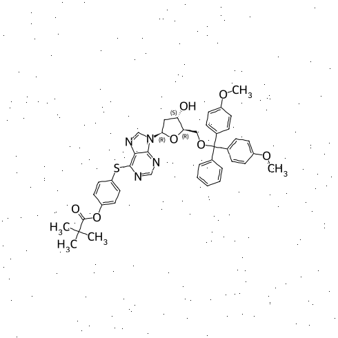 COc1ccc(C(OC[C@H]2O[C@@H](n3cnc4c(Sc5ccc(OC(=O)C(C)(C)C)cc5)ncnc43)C[C@@H]2O)(c2ccccc2)c2ccc(OC)cc2)cc1